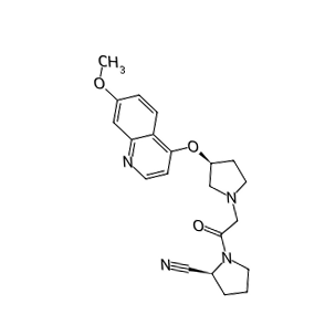 COc1ccc2c(O[C@H]3CCN(CC(=O)N4CCC[C@H]4C#N)C3)ccnc2c1